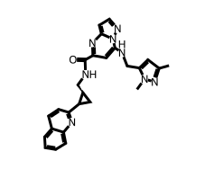 Cc1cc(CNc2cc(C(=O)NC[C@H]3CC3c3ccc4ccccc4n3)nc3ccnn23)n(C)n1